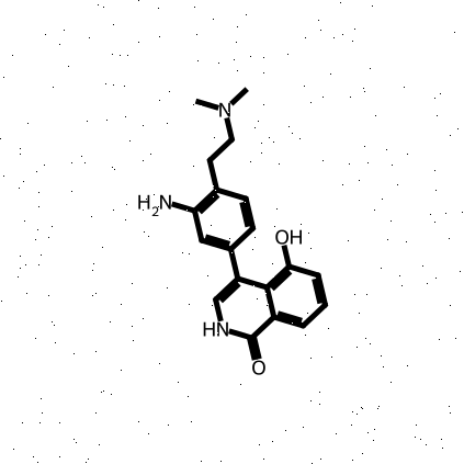 CN(C)CCc1ccc(-c2c[nH]c(=O)c3cccc(O)c23)cc1N